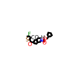 O=C(c1ccc2c(c1)CCN(C(=O)OCc1ccccc1)C2)c1scc(F)c1C(=O)O